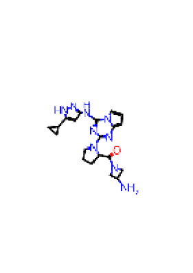 NC1CN(C(=O)C2CCCN2c2nc(Nc3cc(C4CC4)[nH]n3)n3cccc3n2)C1